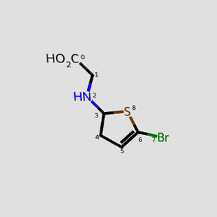 O=C(O)CNC1CC=C(Br)S1